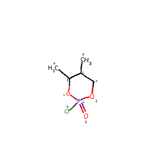 CC1COP(=O)(Cl)OC1C